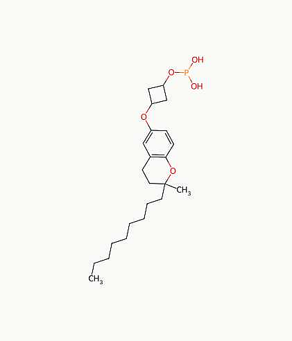 CCCCCCCCCC1(C)CCc2cc(OC3CC(OP(O)O)C3)ccc2O1